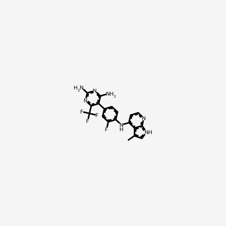 Cc1c[nH]c2nccc(Nc3ccc(-c4c(N)nc(N)nc4C(F)(F)F)cc3F)c12